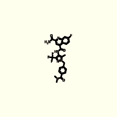 Cc1c(NC(=O)c2cc(C(N)=O)nc3cc(F)ccc23)c(C(F)(F)F)nn1Cc1ccc(C(=O)N(C)C)cc1